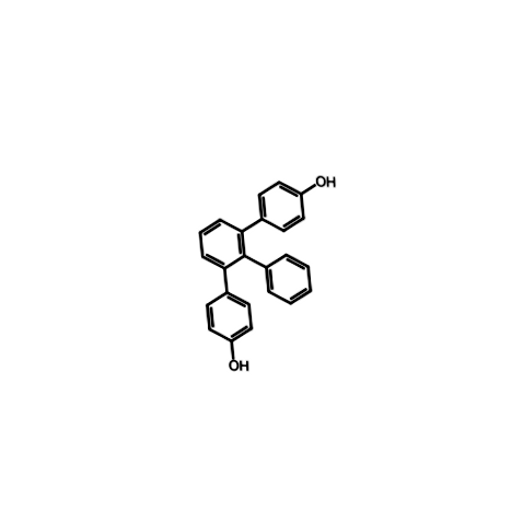 Oc1ccc(-c2cccc(-c3ccc(O)cc3)c2-c2ccccc2)cc1